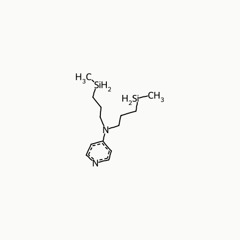 C[SiH2]CCCN(CCC[SiH2]C)c1ccncc1